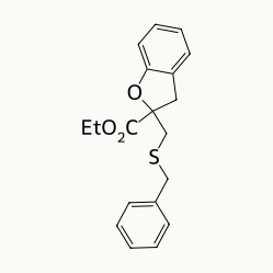 CCOC(=O)C1(CSCc2ccccc2)Cc2ccccc2O1